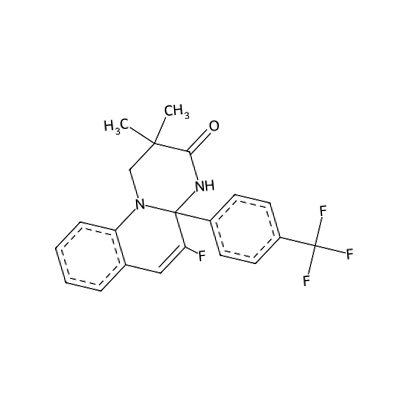 CC1(C)CN2c3ccccc3C=C(F)C2(c2ccc(C(F)(F)F)cc2)NC1=O